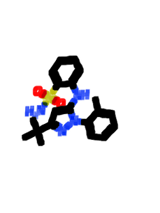 Cc1ccccc1-n1nc(C(C)(C)C)cc1Nc1ccccc1S(N)(=O)=O